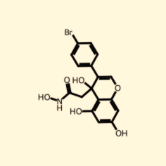 O=C(CC1(O)C(c2ccc(Br)cc2)=COc2cc(O)cc(O)c21)NO